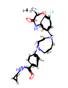 CC1Oc2c(F)cc(CN3CCN(c4ccc(C(=O)NC5CC5)cc4)CC3)cc2NC1=O